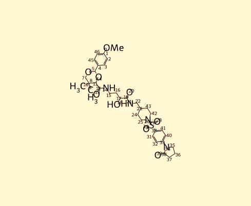 COc1ccc(C2OCC(C)(C)[C@H](C(=O)NCCC(O)C(=O)NCC3CCN(S(=O)(=O)c4ccc(N5CCCC5=O)cc4)CC3)O2)cc1